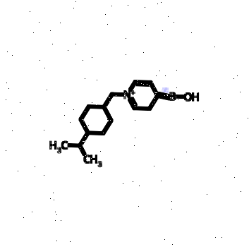 CC(C)C1CCC(C[N+]2=CC/C(=B/O)C=C2)CC1